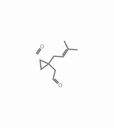 C=O.CC(C)=CCC1(CC=O)CC1